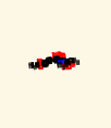 CC(C)(CNC(=O)c1ncc(-c2ccc3cc(S(C)(=O)=O)ccc3c2)cc1O)C(=O)O